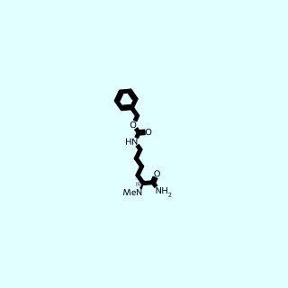 CN[C@@H](CCCCNC(=O)OCc1ccccc1)C(N)=O